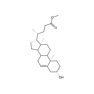 COC(=O)CC[C@@H](C)[C@H]1CCC2C3CC=C4C[C@@H](O)CC[C@]4(C)C3CC[C@@]21C